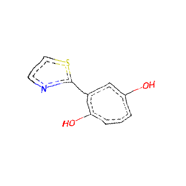 Oc1ccc(O)c(-c2nccs2)c1